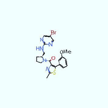 COc1cccc(-c2sc(C)nc2C(=O)N2CCC[C@H]2CNc2ncc(Br)cn2)c1